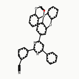 N#Cc1cccc(-c2nc(-c3ccccc3)cc(-c3ccc4c(c3)Oc3ccccc3[Si]43c4ccccc4Oc4ccccc43)n2)c1